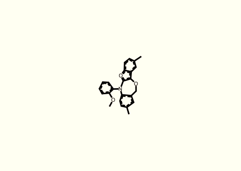 COc1ccccc1N1c2ccc(C)cc2COc2c1oc1ccc(C)cc21